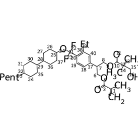 C=C(C)C(=O)OCC(COC(=O)C(C)(C)CO)c1ccc(C(F)(F)OC2CCC(C3CCC(CCCCC)CC3)CC2)c(CC)c1